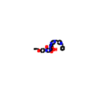 C#CCOC1CCC(N2CC[N@+]([O-])(C(=O)O)C(N3CC4=CN(CC5CCN(Cc6ccccc6)CC5)C=CN4C3)C2=O)CC1